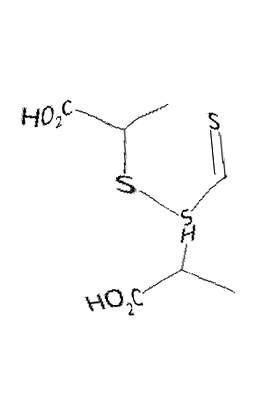 CC(S[SH](C=S)C(C)C(=O)O)C(=O)O